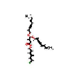 CCCCC#CCCOC(CCC(=O)OCCCCCCBr)OCCC#CCCCC